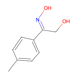 Cc1ccc(C(CO)=NO)cc1